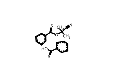 CC(C)(C#N)OC(=S)c1ccccc1.OC(=S)c1ccccc1